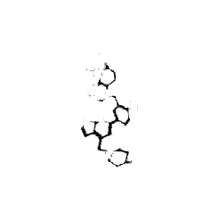 Cc1ccc(-c2cc(CN3CCC(F)CC3)c3cc[nH]c3n2)cc1CN(C=O)C1CCC(=O)NC1=O